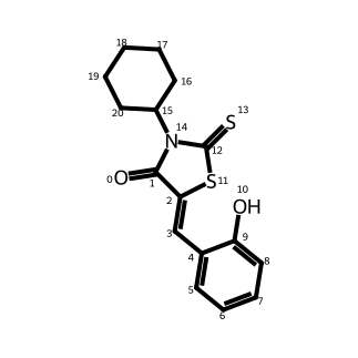 O=C1C(=Cc2ccccc2O)SC(=S)N1C1CCCCC1